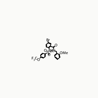 COc1ccccc1CNC(=O)c1cc(Br)ccc1NS(=O)(=O)c1ccc(OC(F)(F)F)cc1